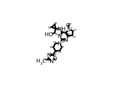 Cc1noc(C2CCN(c3nc4c(c(NC5(CO)CC5)n3)[S+]([O-])CC4)CC2)n1